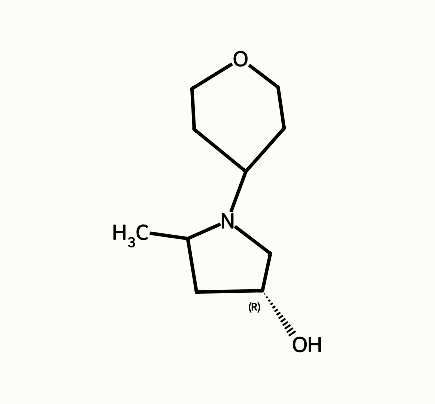 CC1C[C@@H](O)CN1C1CCOCC1